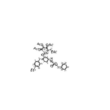 CCc1ccc(Cc2ccc(NC(=O)OCc3ccccc3)cc2O[C@@H]2O[C@H](COC(C)=O)[C@@H](OC(C)=O)[C@H](OC(C)=O)[C@H]2OC(C)=O)cc1